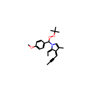 CC#C/C=c1/c(C)cn(C(OOC(C)(C)C)c2ccc(OC)cc2)/c1=C/C